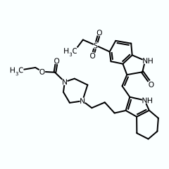 CCOC(=O)N1CCN(CCCc2c(/C=C3\C(=O)Nc4ccc(S(=O)(=O)CC)cc43)[nH]c3c2CCCC3)CC1